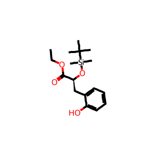 CCOC(=O)[C@H](Cc1ccccc1O)O[Si](C)(C)C(C)(C)C